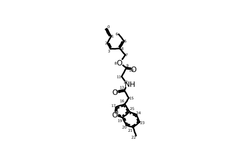 C=C/C=C\C(=C/C)COC(=O)CNC(=O)Cc1coc2cc(C)ccc12